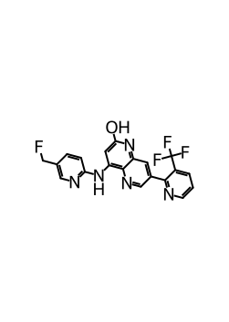 Oc1cc(Nc2ccc(CF)cn2)c2ncc(-c3ncccc3C(F)(F)F)cc2n1